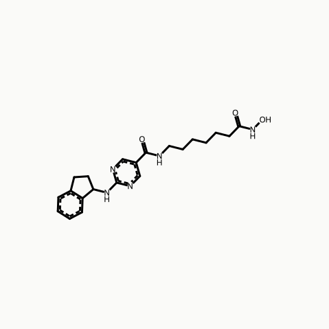 O=C(CCCCCCNC(=O)c1cnc(NC2CCc3ccccc32)nc1)NO